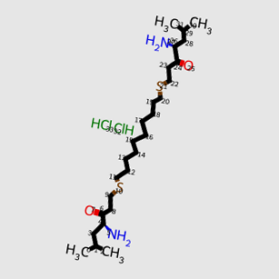 CC(C)C[C@H](N)C(=O)CCSCCCCCCCCCCSCCC(=O)[C@@H](N)CC(C)C.Cl.Cl